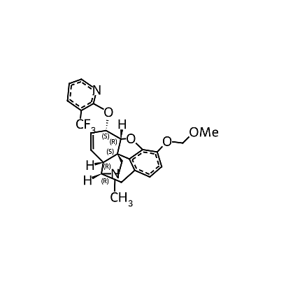 COCOc1ccc2c3c1O[C@H]1[C@@H](Oc4ncccc4C(F)(F)F)C=C[C@H]4[C@@H](C2)N(C)CC[C@@]341